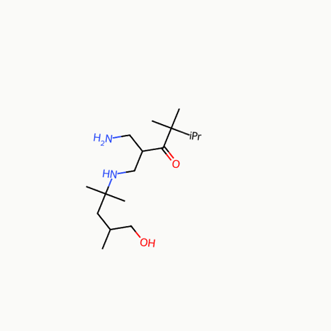 CC(CO)CC(C)(C)NCC(CN)C(=O)C(C)(C)C(C)C